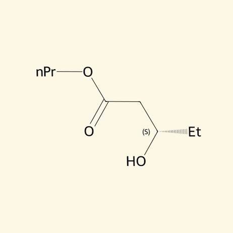 CCCOC(=O)C[C@@H](O)CC